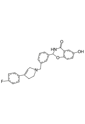 O=C1NC(c2cccc(CN3CC=C(c4ccc(F)cc4)CC3)c2)Oc2ccc(O)cc21